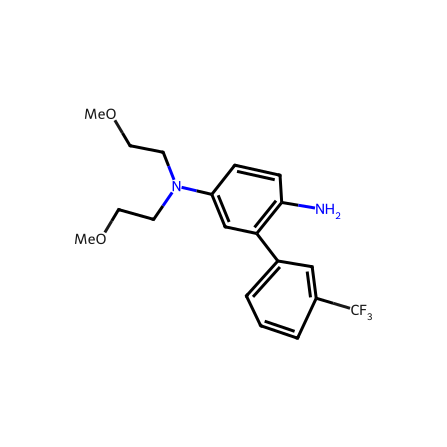 COCCN(CCOC)c1ccc(N)c(-c2cccc(C(F)(F)F)c2)c1